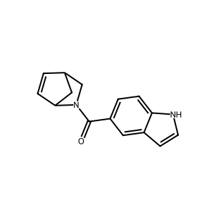 O=C(c1ccc2[nH]ccc2c1)N1CC2C=CC1C2